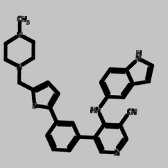 CN1CCN(Cc2ccc(-c3cccc(-c4cncc(C#N)c4Nc4ccc5[nH]ccc5c4)c3)s2)CC1